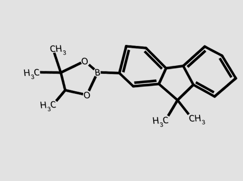 CC1OB(c2ccc3c(c2)C(C)(C)c2ccccc2-3)OC1(C)C